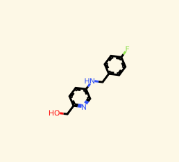 OCc1ccc(NCc2ccc(F)cc2)cn1